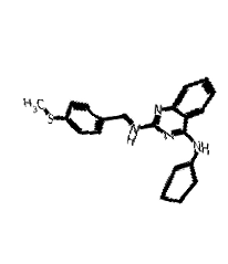 CSc1ccc(CNc2nc(NC3CCCC3)c3ccccc3n2)cc1